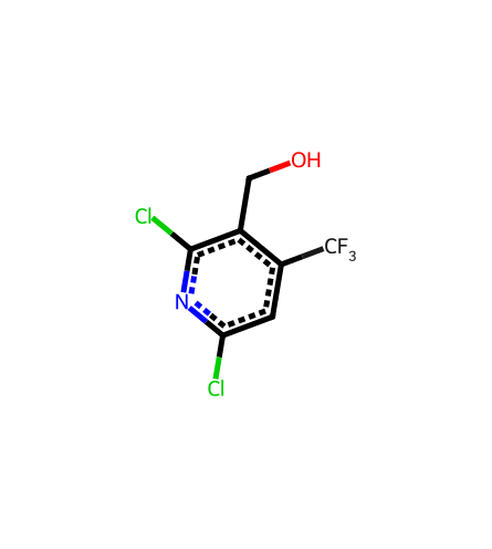 OCc1c(C(F)(F)F)cc(Cl)nc1Cl